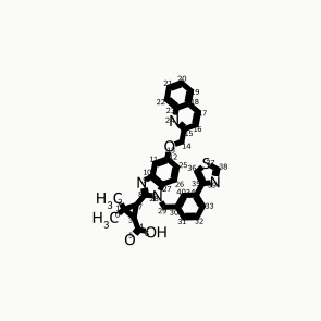 CC1(C)C(C(=O)O)C1c1nc2cc(OCc3ccc4ccccc4n3)ccc2n1Cc1cccc(-c2cscn2)c1